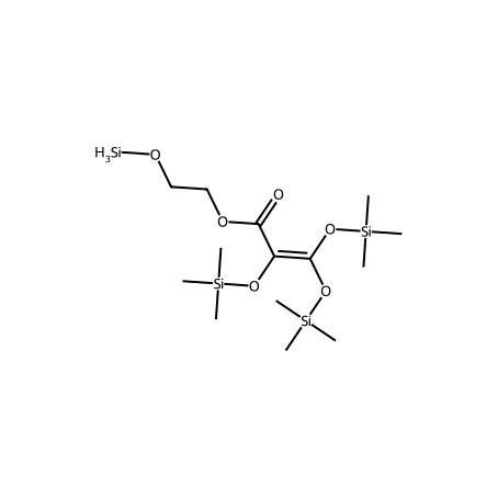 C[Si](C)(C)OC(O[Si](C)(C)C)=C(O[Si](C)(C)C)C(=O)OCCO[SiH3]